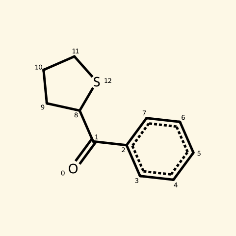 O=C(c1ccccc1)C1CCCS1